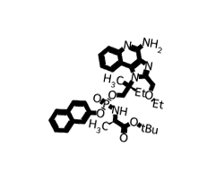 CCOCc1nc2c(N)nc3ccccc3c2n1[C@](C)(CC)COP(=O)(N[C@@H](C)C(=O)OC(C)(C)C)Oc1ccc2ccccc2c1